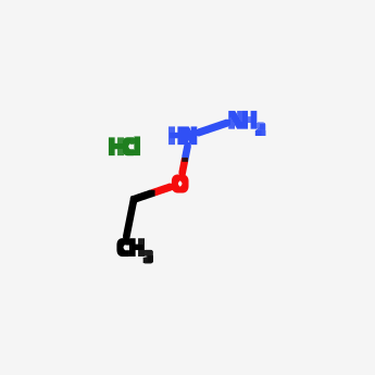 CCONN.Cl